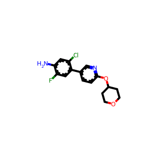 Nc1cc(Cl)c(-c2ccc(OC3CCOCC3)nc2)cc1F